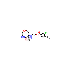 CCc1nn(CCCOC(=O)c2ccc(C(F)(F)F)c(Cl)c2)c2c1C(=O)NCCCOCCC2